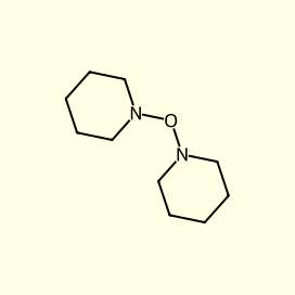 C1CCN(ON2CCCCC2)CC1